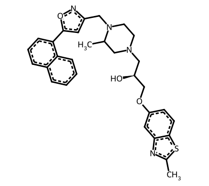 Cc1nc2cc(OC[C@@H](O)CN3CCN(Cc4cc(-c5cccc6ccccc56)on4)C(C)C3)ccc2s1